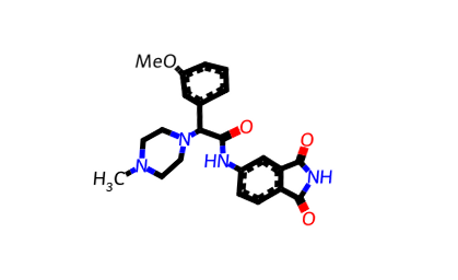 COc1cccc(C(C(=O)Nc2ccc3c(c2)C(=O)NC3=O)N2CCN(C)CC2)c1